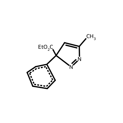 CCOC(=O)C1(c2ccccc2)C=C(C)N=N1